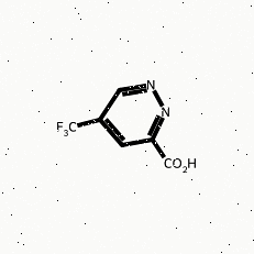 O=C(O)c1cc(C(F)(F)F)cnn1